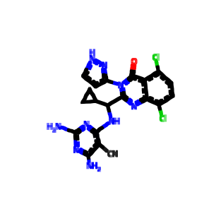 N#Cc1c(N)nc(N)nc1NC(c1nc2c(Cl)ccc(Cl)c2c(=O)n1-c1cc[nH]n1)C1CC1